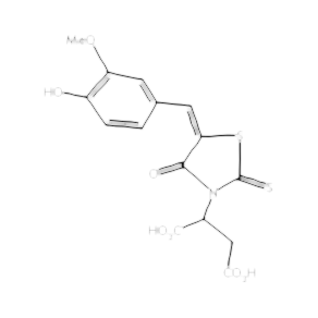 COc1cc(C=C2SC(=S)N(C(CC(=O)O)C(=O)O)C2=O)ccc1O